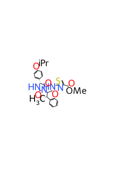 COC(=O)c1csc(NC(=O)C([C@@H](C)c2ccccc2)N2C(=O)N[C@H](c3ccc(OC(C)C)cc3)C2=O)n1